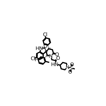 Cc1ccc(F)cc1[C@H]1N(CC(=O)NC2CCN(S(C)(=O)=O)CC2)C(=O)C[C@@H](c2ccc(Cl)cc2)[C@]12C(=O)Nc1cc(Cl)ccc12